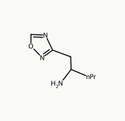 CCCC(N)Cc1ncon1